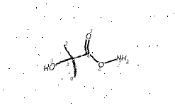 CC(C)(O)C(=O)ON